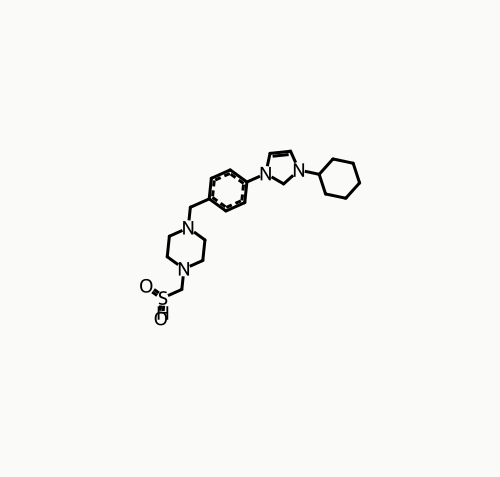 O=[SH](=O)CN1CCN(Cc2ccc(N3C=CN(C4CCCCC4)C3)cc2)CC1